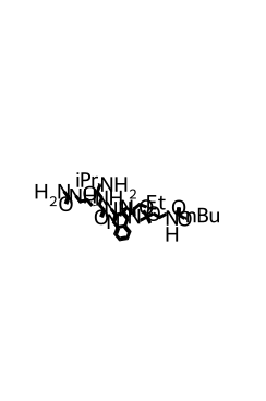 CCCCOC(=O)NCCOC(C)(C)Cn1c(COCC)nc2c(NC(=O)[C@H](CCCNC(N)=O)NC(=O)[C@@H](N)C(C)C)nc3ccccc3c21